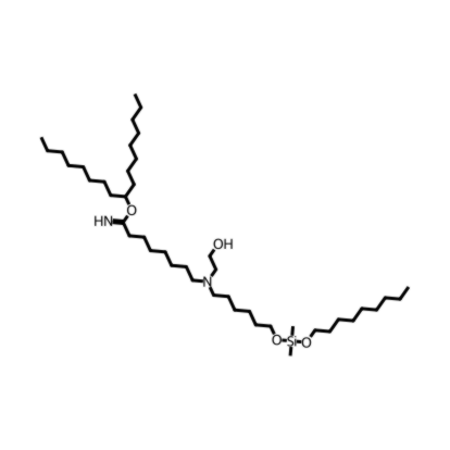 CCCCCCCCCO[Si](C)(C)OCCCCCCN(CCO)CCCCCCCC(=N)OC(CCCCCCCC)CCCCCCCC